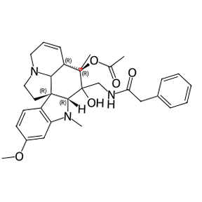 CC[C@]12C=CCN3CC[C@@]4(c5ccc(OC)cc5N(C)[C@H]4C(O)(CNC(=O)Cc4ccccc4)[C@@H]1OC(C)=O)C32